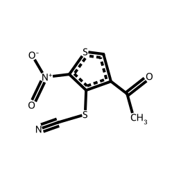 CC(=O)c1csc([N+](=O)[O-])c1SC#N